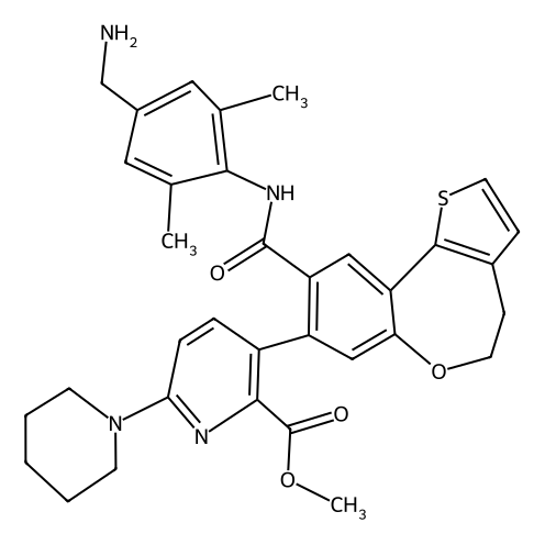 COC(=O)c1nc(N2CCCCC2)ccc1-c1cc2c(cc1C(=O)Nc1c(C)cc(CN)cc1C)-c1sccc1CCO2